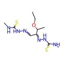 CCOC(C)C(/C=N/NC(=S)NC)=N\NC(=S)NC